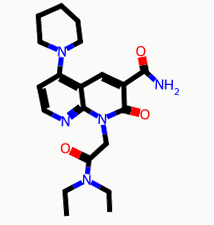 CCN(CC)C(=O)Cn1c(=O)c(C(N)=O)cc2c(N3CCCCC3)ccnc21